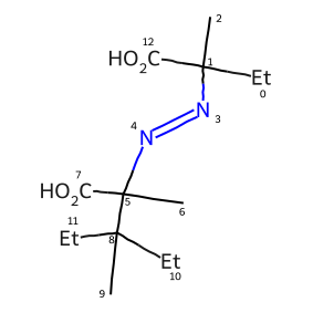 CCC(C)(/N=N/C(C)(C(=O)O)C(C)(CC)CC)C(=O)O